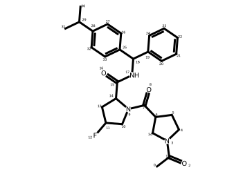 CC(=O)N1CCC(C(=O)N2CC(F)CC2C(=O)NC(c2ccccc2)c2ccc(C(C)C)cc2)C1